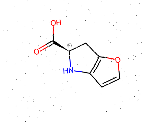 O=C(O)[C@H]1Cc2occc2N1